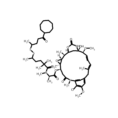 COc1cc2cc(c1Cl)N(C)C(=O)C[C@@H](OC(=O)[C@@H](C)N(C)C(=O)C(C)(C)CCC(C)SSC(C)CCC(=O)C1CCCCCCC1)[C@@]1(C)O[C@@H]1[C@@H](C)[C@H]1C[C@](O)(NC(=O)O1)[C@@H](OC)/C=C/C=C(\C)C2